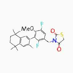 COc1c(F)cc(CN2C(=O)CSC2=O)c(F)c1-c1cc2c(cc1C)C(C)(C)CCC2(C)C